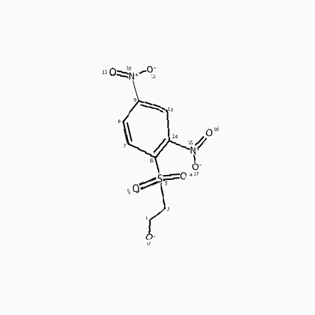 [O]CCS(=O)(=O)c1ccc([N+](=O)[O-])cc1[N+](=O)[O-]